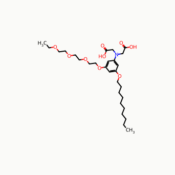 CCCCCCCCCCOc1cc(OCCOCCOCCOCC)cc(N(CC(=O)O)CC(=O)O)c1